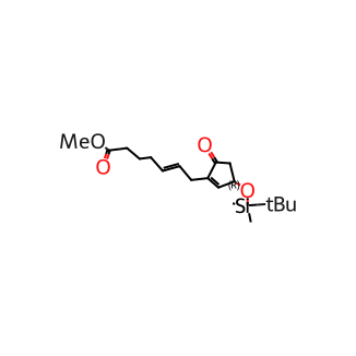 COC(=O)CCCC=CCC1=C[C@H](O[Si](C)(C)C(C)(C)C)CC1=O